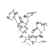 CC(=O)N[C@@H](CO)C(=O)N[C@@H](Cc1c[nH]cn1)C(=O)N[C@@H](C)C(=O)N[C@H](C(=O)N[C@@H](CO)C(=O)N[C@@H](CO)C(N)=O)C(C)C